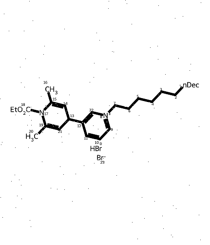 Br.CCCCCCCCCCCCCCCC[n+]1cccc(C2C=C(C)N(C(=O)OCC)C(C)=C2)c1.[Br-]